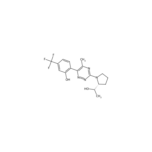 Cc1nc(N2CCC[C@@H]2C(C)O)nnc1-c1ccc(C(F)(F)F)cc1O